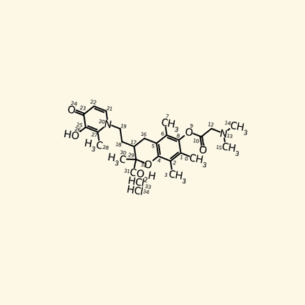 Cc1c(C)c2c(c(C)c1OC(=O)CN(C)C)CC(CCn1ccc(=O)c(O)c1C)C(C)(C(=O)O)O2.Cl.Cl